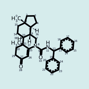 C[C@@]12CCC[C@H]1[C@@H]1CN(C(=O)NC(c3ccccc3)c3ccccc3)C3=CC(=O)CC[C@]3(C)[C@H]1CC2